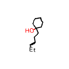 CCC=CCCC1(O)CCCCC1